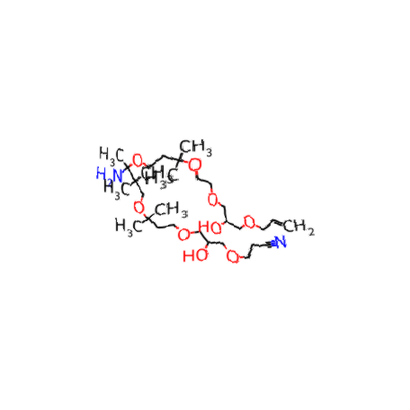 C=CCOCC(O)COCCOC(C)(C)CCOC(C)(N)C(C)(C)COC(C)(C)CCOCC(O)COCCC#N